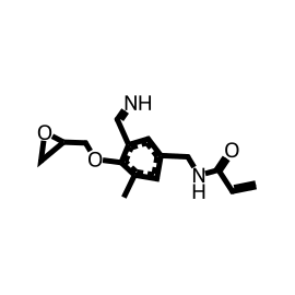 C=CC(=O)NCc1cc(C)c(OCC2CO2)c(C=N)c1